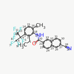 CCc1c(C(F)(C(F)(F)F)C(F)(F)F)ccc(C)c1NC(=O)c1ccc2cc(C#N)ccc2c1